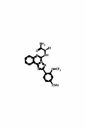 CC[C@@H](Nc1nc2ccccc2c2nc(-c3ccc(OC)cc3OC(F)(F)F)nn12)C(N)=O